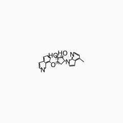 Cc1ccnc2c1ccn2C1C[C@H](Oc2cccc3ccncc23)[C@@H](O)[C@H]1O